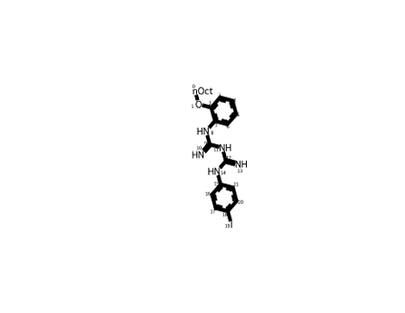 CCCCCCCCOc1ccccc1NC(=N)NC(=N)Nc1ccc(I)cc1